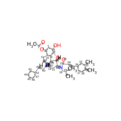 CC(=O)Oc1cc(O)c2c3c1C[C@@H]1[C@@H]4CC[C@H](N(CC(C)C)C(=O)C#Cc5ccc(C)c(C)c5)[C@H](O2)[C@]34CCN1CCc1ccccc1